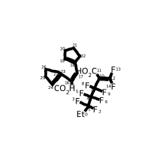 CCC(F)(F)C(F)(F)C(F)(F)C(C(=O)O)=C(F)F.O=C(O)C(=CC1=CCCC1)C1=CCCC1